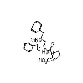 C[C@H](NC[C@H](Cc1ccccc1)NC(=O)c1ccccc1)C(=O)N1CCC[C@H]1C(=O)O